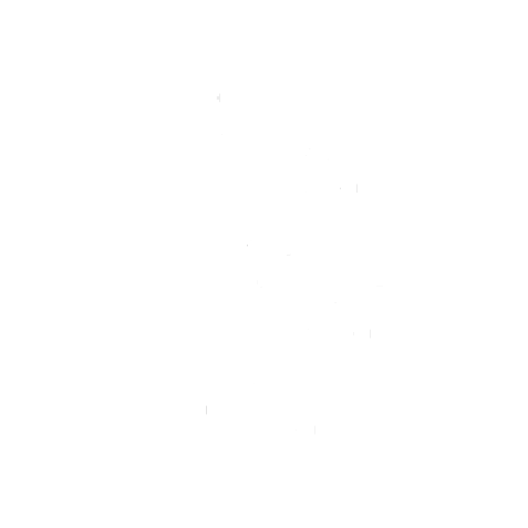 Cc1cc2c(cc1O)C(C)(C)CC1(CC(C)(C)c3cc(O)c(C)cc3O1)O2